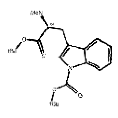 CN[C@@H](Cc1cn(C(=O)OC(C)(C)C)c2ccccc12)C(=O)OC(C)(C)C